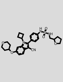 N#Cc1c(-c2ccc(NS(=O)(=O)NCC3CCCO3)cc2)n(C2CCC2)c2cc(OC3CCOCC3)ccc12